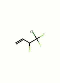 C=CC(F)C(F)(F)Cl